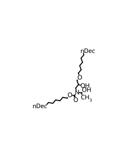 CCCCCCCCCCCCCCCCOCC(O)CN(C(=O)OCCCCCCCCCCCCCCCC)C(C)O